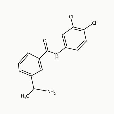 CC(N)c1cccc(C(=O)Nc2ccc(Cl)c(Cl)c2)c1